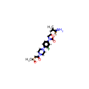 CC(C[C@H]1CN(c2ccc(N3CCN(C(=O)C[S+](C)[O-])CC3)c(F)c2)C(=O)O1)C(N)=S